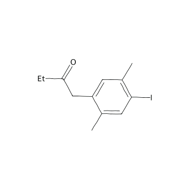 CCC(=O)Cc1cc(C)c(I)cc1C